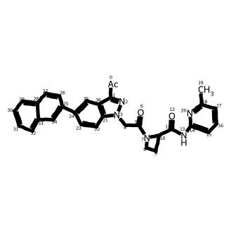 CC(=O)c1nn(CC(=O)N2CCC2C(=O)Nc2cccc(C)n2)c2ccc(-c3ccc4ccccc4c3)cc12